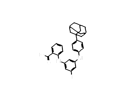 O=C(O)c1ccccc1Nc1cc(I)cc(Nc2ccc(C34CC5CC(CC(C5)C3)C4)cc2)c1